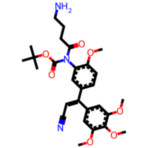 COc1ccc(C(=CC#N)c2cc(OC)c(OC)c(OC)c2)cc1N(C(=O)CCCN)C(=O)OC(C)(C)C